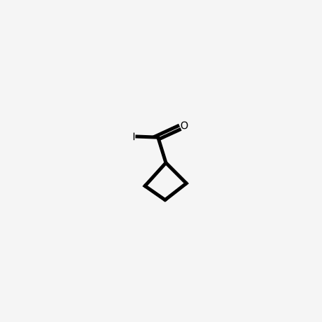 O=C(I)C1CCC1